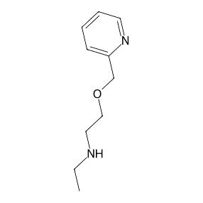 CCNCCOCc1ccccn1